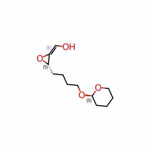 O/C=C1/O[C@H]1CCCCO[C@@H]1CCCCO1